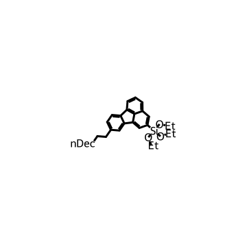 CCCCCCCCCCCCc1ccc2c(c1)-c1cc([Si](OCC)(OCC)OCC)cc3cccc-2c13